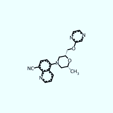 C[C@@H]1CN(c2ccc(C#N)c3ncccc23)C[C@H](COc2cnccn2)O1